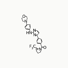 O=C(c1ccc(-c2ccnc(Nc3ccc(N4CCOCC4)cc3)n2)cc1)N1CCC[C@H]1C(F)(F)F